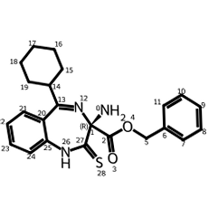 N[C@]1(C(=O)OCc2ccccc2)N=C(C2CCCCC2)c2ccccc2NC1=S